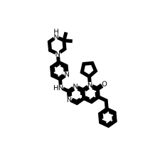 CC1(C)CN(c2ccc(Nc3ncc4cc(Cc5ccccc5)c(=O)n(C5CCCC5)c4n3)nc2)CCN1